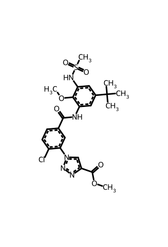 COC(=O)c1cn(-c2cc(C(=O)Nc3cc(C(C)(C)C)cc(NS(C)(=O)=O)c3OC)ccc2Cl)nn1